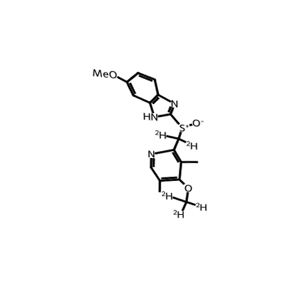 [2H]C([2H])([2H])Oc1c(C)cnc(C([2H])([2H])[S+]([O-])c2nc3ccc(OC)cc3[nH]2)c1C